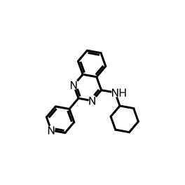 c1ccc2c(NC3CCCCC3)nc(-c3ccncc3)nc2c1